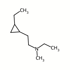 CCC1CC1CCN(C)CC